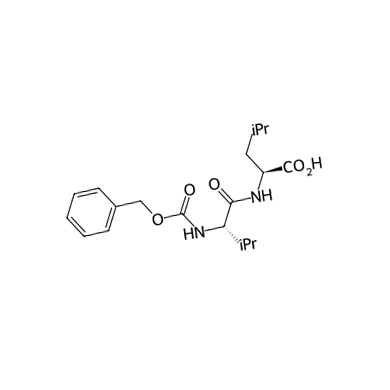 CC(C)C[C@H](NC(=O)[C@@H](NC(=O)OCc1ccccc1)C(C)C)C(=O)O